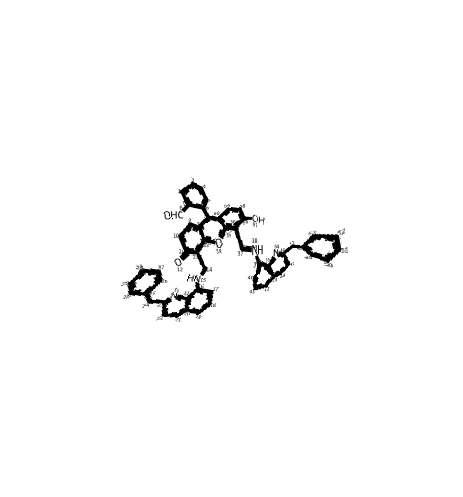 O=Cc1ccccc1-c1c2ccc(=O)c(CNc3cccc4ccc(Cc5ccccc5)nc34)c-2oc2c(CNc3cccc4ccc(Cc5ccccc5)nc34)c(O)ccc12